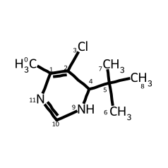 CC1=C(Cl)C(C(C)(C)C)NC=N1